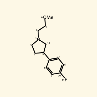 COCCN1CCC(c2ccc(F)cc2)C1